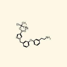 CCOB(OC(C)(C)CC)c1cnn(Cc2cccc(Oc3cccc(CCN)c3)c2)c1